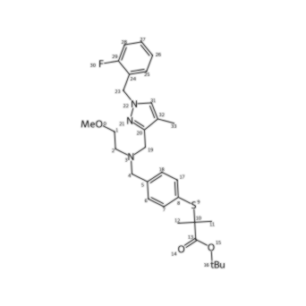 COCCN(Cc1ccc(SC(C)(C)C(=O)OC(C)(C)C)cc1)Cc1nn(Cc2ccccc2F)cc1C